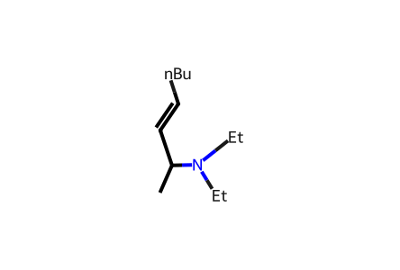 CCCCC=CC(C)N(CC)CC